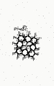 CC(C)[NH2+]C(C)C.Fc1ccc2c([B-](c3c(F)c(F)c(F)c4c(F)c(F)ccc34)(c3c(F)c(F)c(F)c4c(F)c(F)ccc34)c3c(F)c(F)c(F)c4c(F)c(F)ccc34)c(F)c(F)c(F)c2c1F